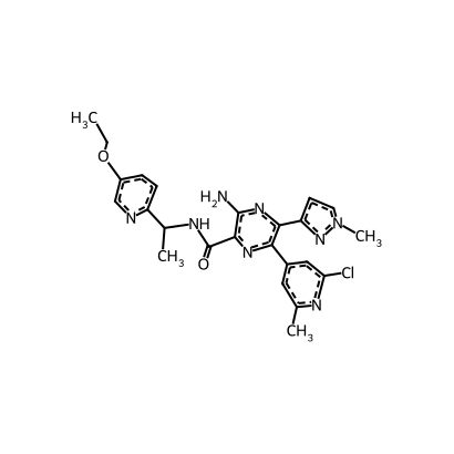 CCOc1ccc(C(C)NC(=O)c2nc(-c3cc(C)nc(Cl)c3)c(-c3ccn(C)n3)nc2N)nc1